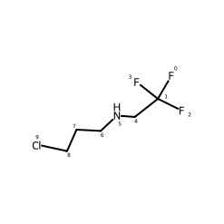 FC(F)(F)CNCCCCl